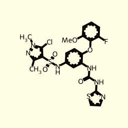 COc1cccc(F)c1Oc1ccc(NS(=O)(=O)c2c(C)nn(C)c2Cl)cc1NC(=O)Nc1nccs1